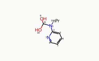 CCCN(c1ccccn1)C(O)O